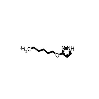 [CH2]CCCCCOc1cc[nH]n1